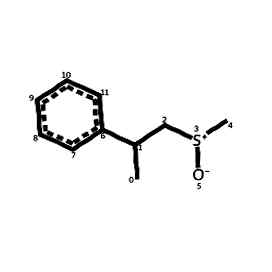 CC(C[S+](C)[O-])c1ccccc1